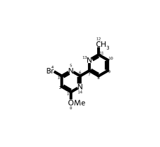 COc1cc(Br)nc(-c2cccc(C)n2)n1